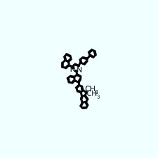 CC1(C)c2cc(-c3ccc(-c4nc(-c5ccc(-c6ccccc6)cc5)cc(-c5cccc6ccccc56)n4)c4ccccc34)ccc2-c2cc3ccccc3cc21